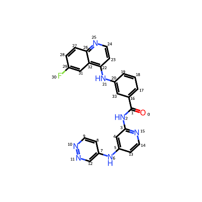 O=C(Nc1cc(Nc2ccnnc2)ccn1)c1cccc(Nc2ccnc3ccc(F)cc23)c1